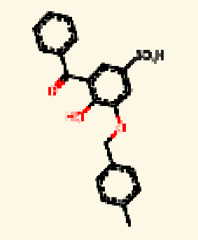 Cc1ccc(COc2cc(S(=O)(=O)O)cc(C(=O)c3ccccc3)c2O)cc1